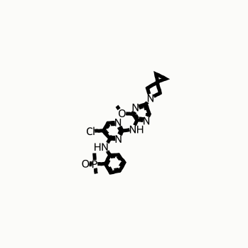 COc1nc(N2CC3(CC3)C2)cnc1Nc1ncc(Cl)c(Nc2ccccc2P(C)(C)=O)n1